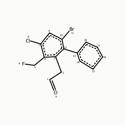 O=CCc1c(CF)c(Cl)cc(Br)c1-c1ccccc1